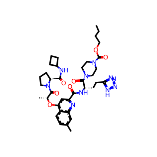 CCCCOC(=O)N1CCN(C(=O)[C@H](CCc2nnn[nH]2)NC(=O)c2cc(O[C@H](C)C(=O)N3CCC[C@H]3C(=O)NC3CCC3)c3ccc(C)cc3n2)CC1